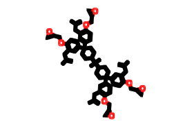 C=C(C)Cc1cc(C2(c3ccc(OCC4CO4)c(CC(=C)C)c3)CCC(C(C)(C)C3CCC(c4ccc(OCC5CO5)c(CC(=C)C)c4)(c4ccc(OCC5CO5)c(CC(=C)C)c4)CC3)CC2)ccc1OCC1CO1